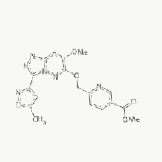 COC(=O)c1ccc(COc2nn3c(-c4cc(C)on4)nnc3cc2OC)nc1